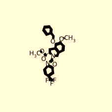 COC(=O)[C@@H]1Cc2c(ccc(OC)c2OCc2ccccc2)CN1c1nc2ccc(C(F)(F)F)cc2o1